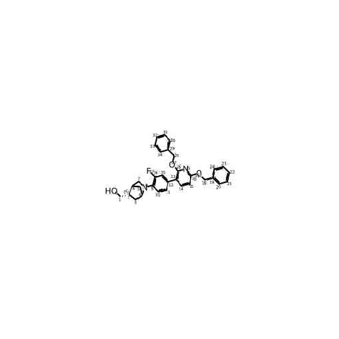 OC[C@H]1CC2CC1CN2c1ccc(-c2ccc(OCc3ccccc3)nc2OCc2ccccc2)cc1F